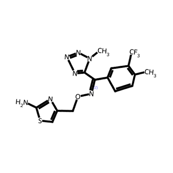 Cc1ccc(/C(=N/OCc2csc(N)n2)c2nnnn2C)cc1C(F)(F)F